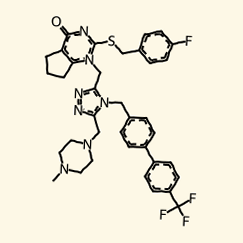 CN1CCN(Cc2nnc(Cn3c(SCc4ccc(F)cc4)nc(=O)c4c3CCC4)n2Cc2ccc(-c3ccc(C(F)(F)F)cc3)cc2)CC1